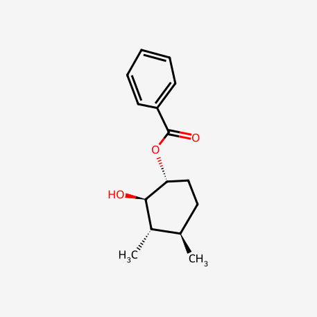 C[C@@H]1[C@@H](O)[C@H](OC(=O)c2ccccc2)CC[C@H]1C